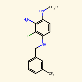 CCOC(=O)Nc1ccc(NCc2cccc(C(F)(F)F)c2)c(F)c1N